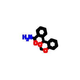 NC(=O)c1ccccc1C1OCOc2ccccc21